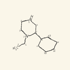 CCN1CCNCC1C1CCCCC1